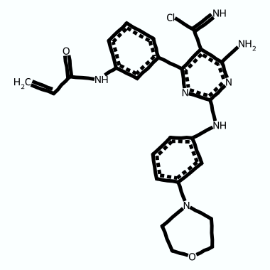 C=CC(=O)Nc1cccc(-c2nc(Nc3cccc(N4CCOCC4)c3)nc(N)c2C(=N)Cl)c1